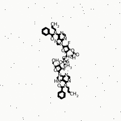 C=CCN(C(=O)c1ccccc1)c1ncnc2c1NCN2C1O[C@H](CO)[C@@H](OP(C)(=S)OC[C@H]2O[C@@H](n3cnc4c(N(CC=C)C(=O)c5ccccc5)ncnc43)[C@H](F)[C@@H]2O[PH](=O)O)[C@H]1F